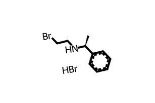 Br.C[C@H](NCCBr)c1ccccc1